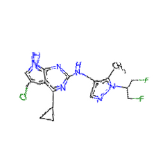 Cc1c(Nc2nc(C3CC3)c3c(Cl)c[nH]c3n2)cnn1C(CF)CF